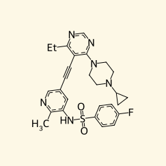 CCc1ncnc(N2CCN(C3CC3)CC2)c1C#Cc1cnc(C)c(NS(=O)(=O)c2ccc(F)cc2)c1